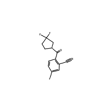 N#Cc1cc(F)ccc1C(=O)N1CCC(F)(F)C1